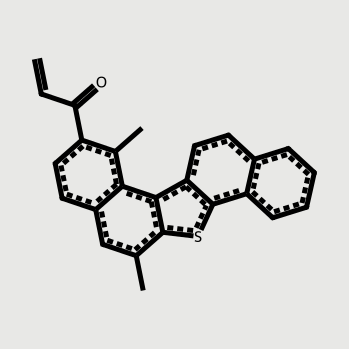 C=CC(=O)c1ccc2cc(C)c3sc4c5ccccc5ccc4c3c2c1C